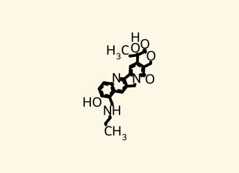 CCCNCc1c(O)ccc2nc3c(cc12)Cn1c-3cc2c(c1=O)COC(=O)C2(O)CC